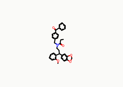 CCC(=O)N(CCC(c1ccc2c(c1)OCO2)c1ccccc1OC)Cc1ccc(C(=O)c2ccccc2)cc1